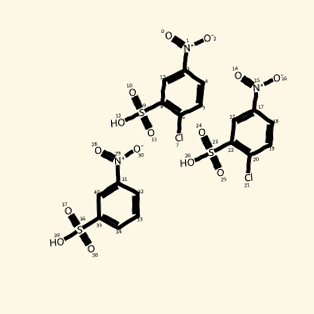 O=[N+]([O-])c1ccc(Cl)c(S(=O)(=O)O)c1.O=[N+]([O-])c1ccc(Cl)c(S(=O)(=O)O)c1.O=[N+]([O-])c1cccc(S(=O)(=O)O)c1